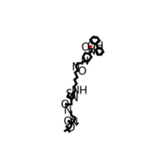 CN(CCN1CCC(N(C(=O)O)c2ccccc2-c2ccccc2)CC1)C(=O)CCCCCNc1nc(CC(=O)N(C)CCCN(C)C(=O)OC(C)(C)C)cs1